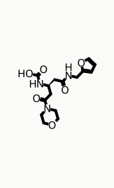 O=C(O)N[C@@H](CC(=O)NCc1ccco1)CC(=O)N1CCOCC1